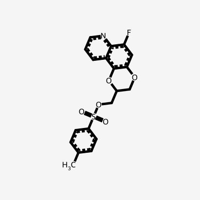 Cc1ccc(S(=O)(=O)OCC2COc3cc(F)c4ncccc4c3O2)cc1